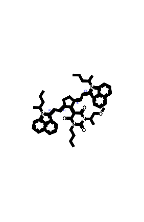 CCCCN1C(=O)C(=C2/C(=C/C=c3\c4cccc5cccc(c54)n3C(C)CCC)CC/C2=C\C=c2/c3cccc4cccc(c43)n2C(C)CCC)C(=O)N(C(C)COC)C1=O